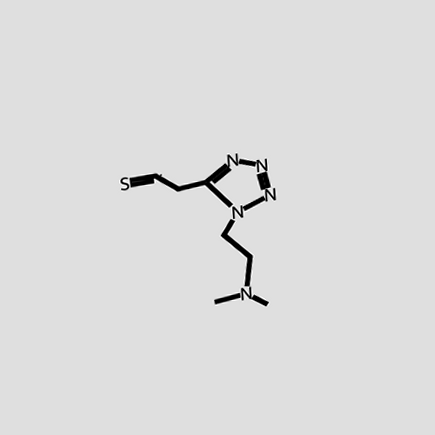 CN(C)CCn1nnnc1C[C]=S